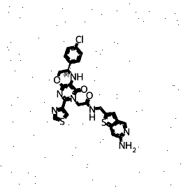 Nc1cc2sc(CNC(=O)Cn3c(-c4cscn4)nc4c(c3=O)N[C@H](c3ccc(Cl)cc3)CO4)cc2cn1